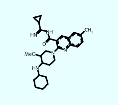 COC1CN(c2nc3ccc(C)cc3cc2C(=O)NC(=N)C2CC2)CCC1NC1CCCCC1